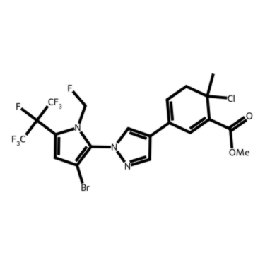 COC(=O)C1=CC(c2cnn(-c3c(Br)cc(C(F)(C(F)(F)F)C(F)(F)F)n3CF)c2)=CCC1(C)Cl